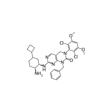 COc1cc(OC)c(Cl)c(N2Cc3cnc(N[C@@H]4CC(C5CCC5)CC[C@@H]4N)nc3N(Cc3ccccc3)C2=O)c1Cl